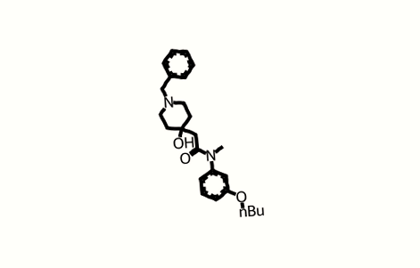 CCCCOc1cccc(N(C)C(=O)CC2(O)CCN(Cc3ccccc3)CC2)c1